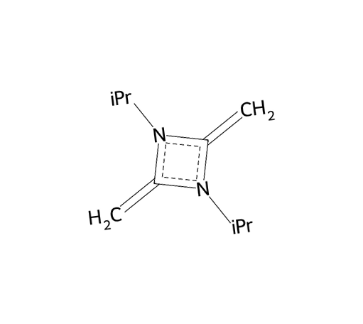 C=c1n(C(C)C)c(=C)n1C(C)C